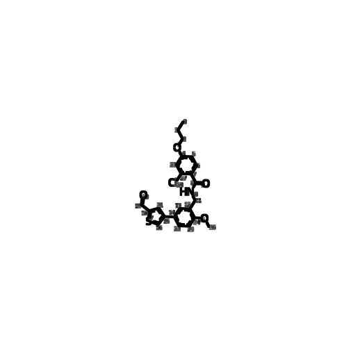 CCCOc1ccc(C(=O)NCc2cc(-c3csc(C=O)c3)ccc2OC)c(Cl)c1